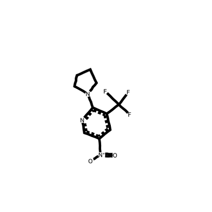 O=[N+]([O-])c1cnc(N2CCCC2)c(C(F)(F)F)c1